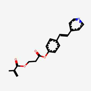 C=C(C)C(=O)OCCC(=O)Oc1ccc(C=Cc2ccncc2)cc1